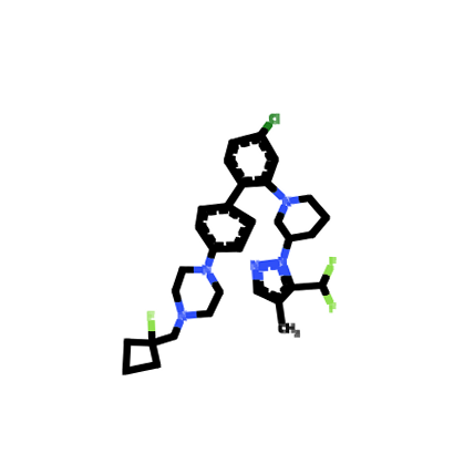 Cc1cnn(C2CCCN(c3cc(Cl)ccc3-c3ccc(N4CCN(CC5(F)CCC5)CC4)cc3)C2)c1C(F)F